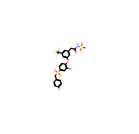 CS(=O)(=O)NC(=O)Cc1cc(Oc2ccc(S(=O)(=O)Cc3ccc(F)cc3)cc2Cl)cc(C(F)(F)F)c1